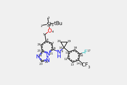 CC(C)(C)[Si](C)(C)OCc1cc(NC2(c3ccc(C(F)(F)F)c(F)c3)CC2)n2ncnc2c1